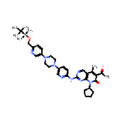 CC(=O)c1c(C)c2cnc(Nc3ccc(N4CCN(c5ccc(CO[Si](C)(C)C(C)(C)C)nc5)CC4)cn3)nc2n(C2CCCC2)c1=O